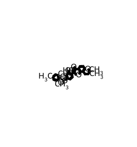 Cc1cc(C)c(S(=O)(=O)Oc2ccc(C3(O)COc4c(ccc5c4CCC(C)(C)O5)C3=O)c(O)c2)c(C)c1